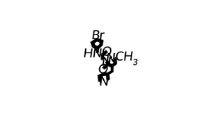 Cc1cc(Cc2cccnc2)c(=O)n(CC(=O)Nc2ccc(Br)cc2)n1